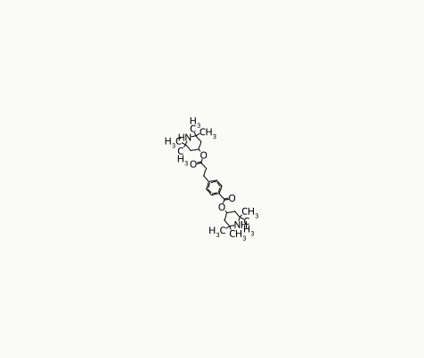 CC1(C)CC(OC(=O)CCc2ccc(C(=O)OC3CC(C)(C)NC(C)(C)C3)cc2)CC(C)(C)N1